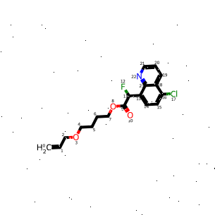 C=CCOCCCCOC(=O)C(F)c1ccc(Cl)c2cccnc12